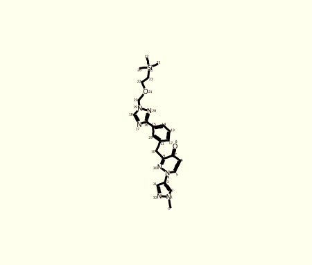 Cn1cc(-n2ccc(=O)c(Cc3cccc(-c4ncn(COCC[Si](C)(C)C)n4)c3)n2)cn1